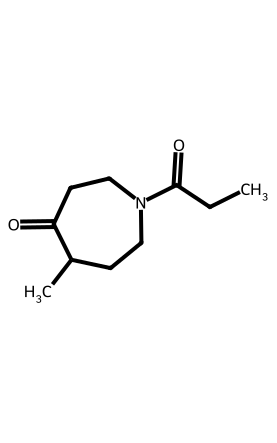 CCC(=O)N1CCC(=O)C(C)CC1